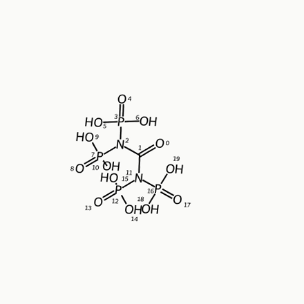 O=C(N(P(=O)(O)O)P(=O)(O)O)N(P(=O)(O)O)P(=O)(O)O